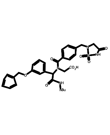 CCCCNC(=O)C(c1cccc(OCc2ccccc2)c1)N(CC(=O)O)C(=O)c1ccc(CN2CC(=O)NS2(=O)=O)cc1